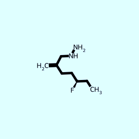 C=C(CC[C@H](F)CC)CNN